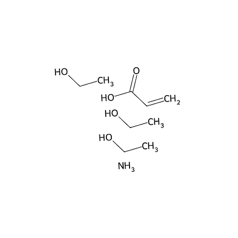 C=CC(=O)O.CCO.CCO.CCO.N